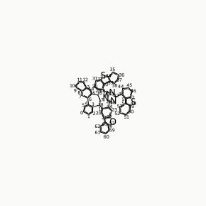 c1ccc2c(c1)-c1cc3ccccc3cc1CCC2c1cc2c(cc1-c1nc(-c3cccc4sc5ccccc5c34)nc(-c3cccc4sc5ccccc5c34)n1)oc1ccccc12